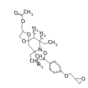 CCC1(C)CC2(OCC(COC(C)=O)O2)C(C)C(C)(CC)N1OC(C)c1ccc(OCC2CO2)cc1